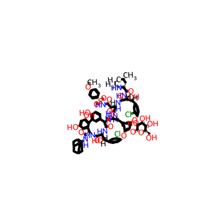 CN[C@H](CC(C)C)C(=O)N[C@H]1C(=O)N[C@@H](CC(=O)NS(=O)(=O)c2ccc(OC)cc2)C(=O)N[C@H]2C(=O)N[C@H]3C(=O)N[C@H](C(=O)N[C@H](C(=O)NC4C5CC6CC(C5)CC4C6)c4cc(O)cc(O)c4-c4cc3ccc4O)[C@H](O)c3ccc(c(Cl)c3)Oc3cc2cc(c3O[C@@H]2O[C@H](CO)[C@@H](O)[C@H](O)[C@H]2O)Oc2ccc(cc2Cl)[C@H]1O